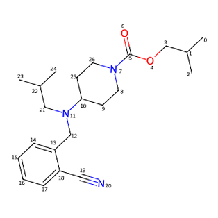 CC(C)COC(=O)N1CCC(N(Cc2ccccc2C#N)CC(C)C)CC1